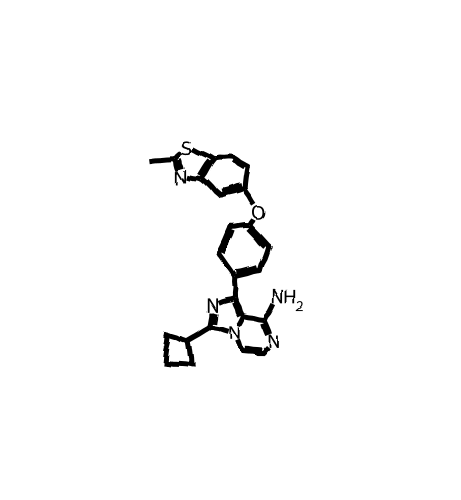 Cc1nc2cc(Oc3ccc(-c4nc(C5CCC5)n5ccnc(N)c45)cc3)ccc2s1